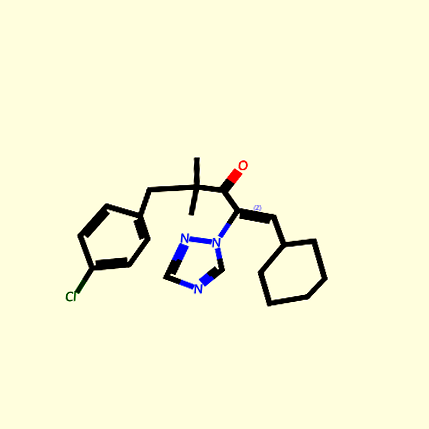 CC(C)(Cc1ccc(Cl)cc1)C(=O)/C(=C/C1CCCCC1)n1cncn1